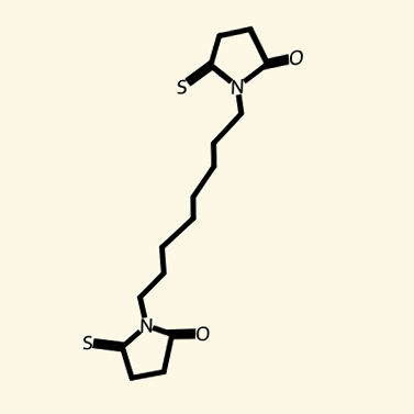 O=C1CCC(=S)N1CCCCCCCCN1C(=O)CCC1=S